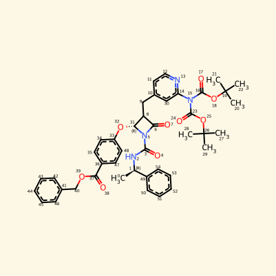 C[C@@H](NC(=O)N1C(=O)C(Cc2ccnc(N(C(=O)OC(C)(C)C)C(=O)OC(C)(C)C)c2)[C@H]1Oc1ccc(C(=O)OCc2ccccc2)cc1)c1ccccc1